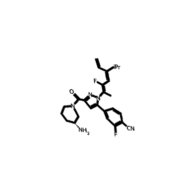 C=C/C(=C\C(F)=C(/C)n1nc(C(=O)N2CCC[C@@H](N)C2)cc1-c1ccc(C#N)c(F)c1)C(C)C